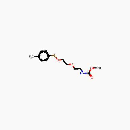 CC(C)(C)OC(=O)NCCOCCOSc1ccc(C(F)(F)F)cc1